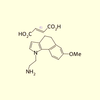 COc1ccc2c(c1)CCc1ccn(CCN)c1-2.O=C(O)/C=C/C(=O)O